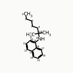 CCCCCC(C)(C)Nc1cccc2ccccc12